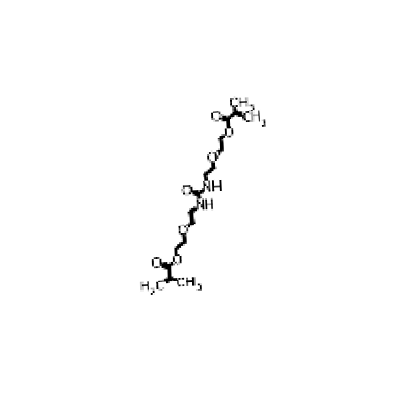 C=C(C)C(=O)OCCOCCNC(=O)NCCOCCOC(=O)C(=C)C